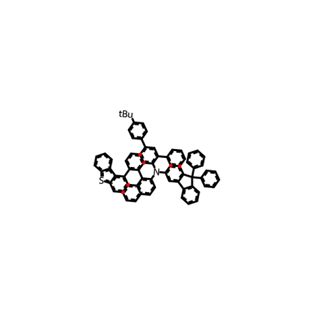 CC(C)(C)c1ccc(-c2ccc(N(c3ccc4c(c3)-c3ccccc3C4(c3ccccc3)c3ccccc3)c3ccc4ccccc4c3-c3ccccc3-c3cccc4sc5ccccc5c34)c(-c3ccccc3)c2)cc1